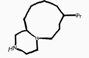 CC(C)C1CCCCC2CNCCN2CC1